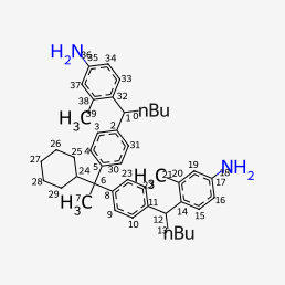 CCCCC(c1ccc(C(C)(c2ccc(C(CCCC)c3ccc(N)cc3C)cc2)C2CCCCC2)cc1)c1ccc(N)cc1C